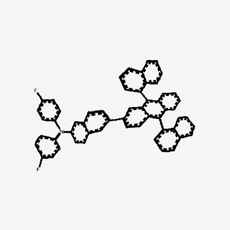 Fc1ccc(N(c2ccc(F)cc2)c2ccc3cc(-c4ccc5c(-c6cccc7ccccc67)c6ccccc6c(-c6cccc7ccccc67)c5c4)ccc3c2)cc1